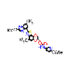 COc1ccc(NC(=O)OC[C@H]2COc3c(cc(C)c4nc(-c5cc(C)cc6nc(OC)cnc56)sc34)O2)cn1